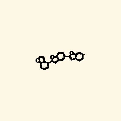 [c]1ccc2cc(-c3ccc4oc(-c5cccc6occc56)cc4c3)oc2c1